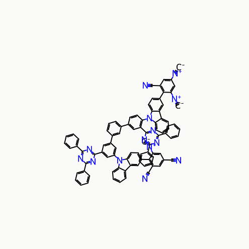 [C-]#[N+]c1cc(C#N)c(-c2ccc3c(c2)c2ccccc2n3-c2ccc(-c3cccc(-c4cc(-c5nc(-c6ccccc6)nc(-c6ccccc6)n5)cc(-n5c6ccccc6c6cc(-c7c(C#N)cc(C#N)cc7[N+]#[C-])ccc65)c4)c3)cc2-c2nc(-c3ccccc3)nc(-c3ccccc3)n2)c([N+]#[C-])c1